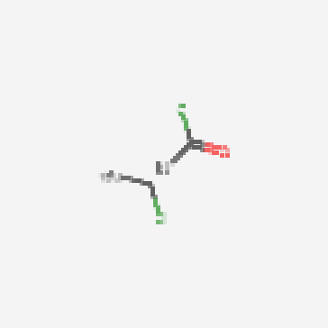 CCC(=O)Cl.CCCCCCl